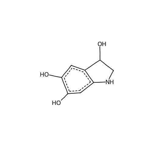 Oc1cc2c(cc1O)C(O)CN2